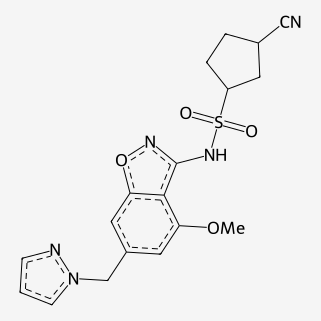 COc1cc(Cn2cccn2)cc2onc(NS(=O)(=O)C3CCC(C#N)C3)c12